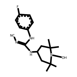 CC1(C)CC(NC(=NC#N)Nc2ccc(F)cc2)CC(C)(C)N1O